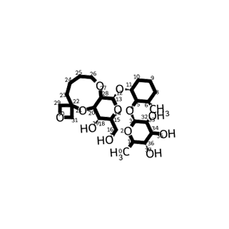 CC1O[C@@H](OC2[C@H](C)CCC[C@H]2O[C@@H]2OC(CO)[C@H](O)C3OC4(CCCCOC32)COC4)[C@@H](O)C(O)[C@@H]1O